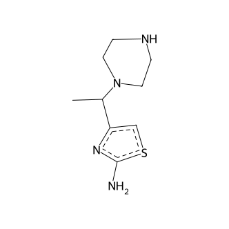 CC(c1csc(N)n1)N1CCNCC1